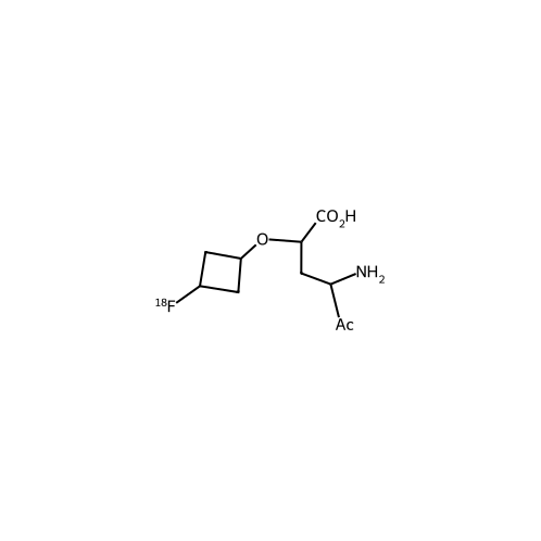 CC(=O)C(N)CC(OC1CC([18F])C1)C(=O)O